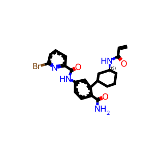 C=CC(=O)N[C@H]1CCCC(c2cc(NC(=O)c3cccc(Br)n3)ccc2C(N)=O)C1